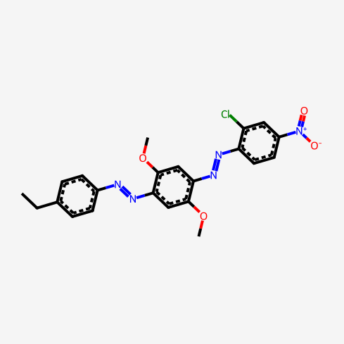 CCc1ccc(N=Nc2cc(OC)c(N=Nc3ccc([N+](=O)[O-])cc3Cl)cc2OC)cc1